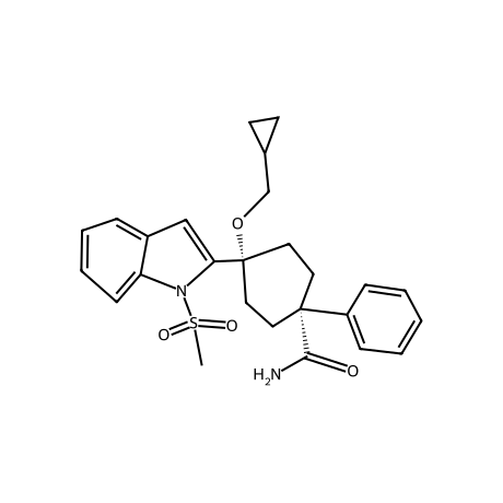 CS(=O)(=O)n1c2ccccc2cc1[C@]1(OCC2CC2)CC[C@](C(N)=O)(c2ccccc2)CC1